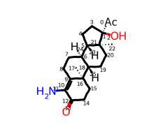 CC(=O)[C@@]1(O)CC[C@H]2[C@@H]3CCC4=C(N)C(=O)CC[C@]4(C)[C@H]3CC[C@@]21C